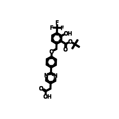 CC(C)(C)OC(=O)c1c(COc2ccc(-c3ncc(CC(=O)O)cn3)cc2)ccc(C(F)(F)F)c1O